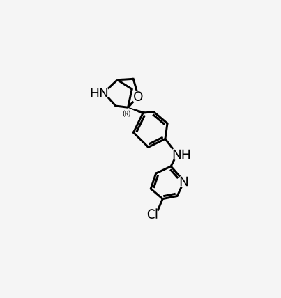 Clc1ccc(Nc2ccc([C@]34CNC(CO3)C4)cc2)nc1